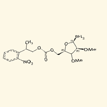 B[C@@H]1O[C@H](COC(=O)OCC(C)c2ccccc2[N+](=O)[O-])C(OC)[C@@H]1OC